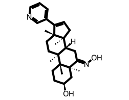 C[C@]12CC[C@H](O)C[C@]1(C)/C(=N/O)C[C@@H]1[C@]2(C)CC[C@]2(C)C(c3cccnc3)=CC[C@@]12C